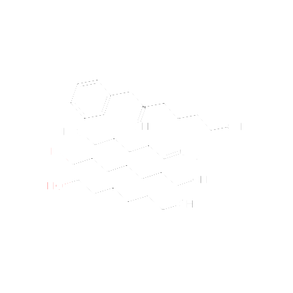 C=C(CCCCC)Cc1ccccc1.C=CCCCCC.CCCCCCCCO.CCCCCCCO